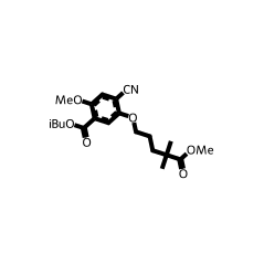 COC(=O)C(C)(C)CCCOc1cc(C(=O)OCC(C)C)c(OC)cc1C#N